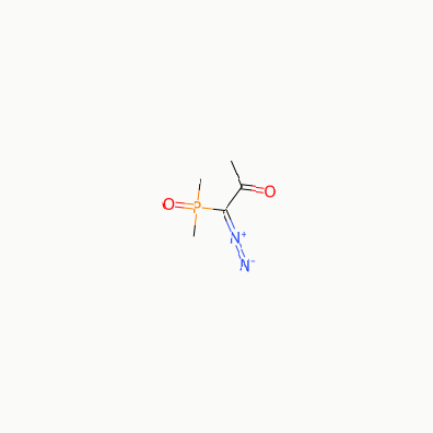 CC(=O)C(=[N+]=[N-])P(C)(C)=O